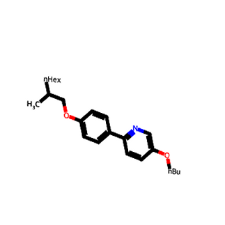 CCCCCCC(C)COc1ccc(-c2ccc(OCCCC)cn2)cc1